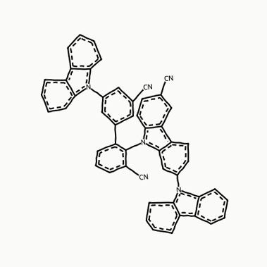 N#Cc1cc(-c2cccc(C#N)c2-n2c3ccc(C#N)cc3c3ccc(-n4c5ccccc5c5ccccc54)cc32)cc(-n2c3ccccc3c3ccccc32)c1